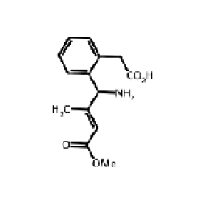 COC(=O)/C=C(\C)C(N)c1ccccc1CC(=O)O